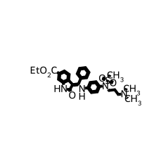 CCOC(=O)c1ccc2c(c1)NC(=O)/C2=C(\Nc1ccc(N(CCCN(C)C)S(C)(=O)=O)cc1)c1ccccc1